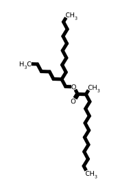 CCCCCCCCCCCC(C)C(=O)OCC(CCCCC)CCCCCCCCC